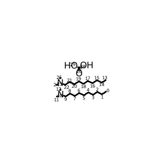 CCCCCCCCCCN(C)C.CCCCCCCCCCN(C)C.O=C(O)O